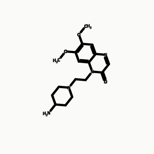 COc1cc2ncc(=O)n(CCN3CCC(N)CC3)c2cc1OC